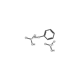 COc1ccccc1.[O-][Cl+2]([O-])O.[O-][I+2]([O-])O